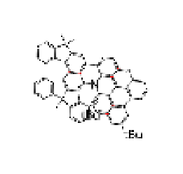 CC1CC=CC2=C1c1c(N(c3ccccc3-c3ccc4c(c3)C(C)(C)c3ccccc3-4)c3ccccc3-c3cccc4cccc(-c5cc(C(C)(C)C)cc(C(C)(C)C)c5)c34)cccc1C2(C)c1ccccc1